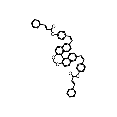 O=C(/C=C/c1ccccc1)Oc1ccc(/C=C\c2ccc3c4c(ccc3c2)OCOc2ccc3cc(/C=C\c5ccc(OC(=O)/C=C/c6ccccc6)cc5)ccc3c2-4)cc1